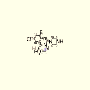 C/C=N\N1C(N2CCNCC2)=Nc2c(F)cc(Cl)cc2C1C